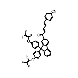 N#Cc1ccc(C=CC=CC(=O)c2ccc3c(c2)C(c2ccc(OC(F)=C(F)F)cc2)(c2ccc(OC(F)=C(F)F)cc2)c2ccccc2-3)cc1